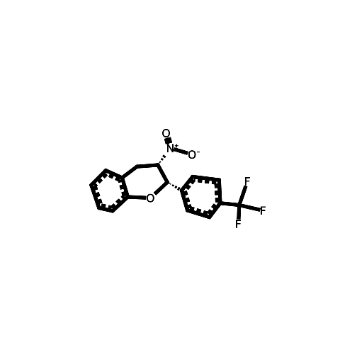 O=[N+]([O-])[C@H]1Cc2ccccc2O[C@H]1c1ccc(C(F)(F)F)cc1